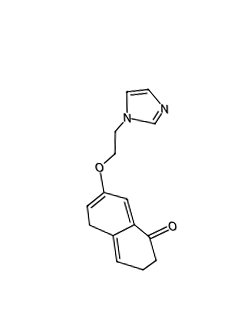 O=C1CCC=C2CC=C(OCCn3ccnc3)C=C12